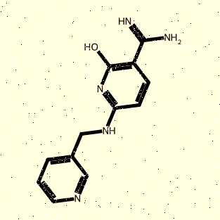 N=C(N)c1ccc(NCc2cccnc2)nc1O